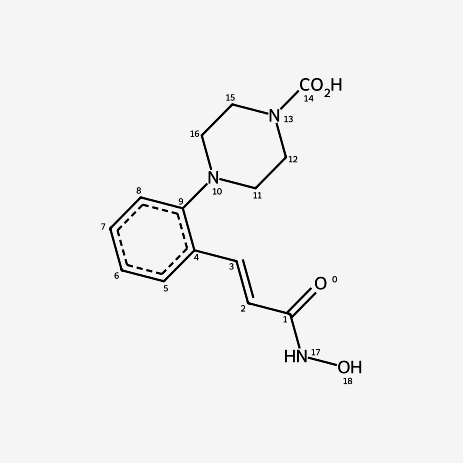 O=C(C=Cc1ccccc1N1CCN(C(=O)O)CC1)NO